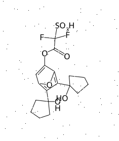 O=C(Oc1cc2oc1c(C1(O)CCCC1)c2C1(O)CCCC1)C(F)(F)S(=O)(=O)O